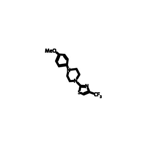 COc1ccc(N2CCN(c3nc(C(F)(F)F)cs3)CC2)cc1